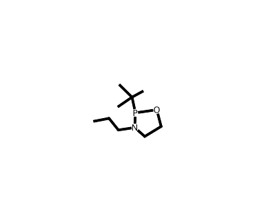 CCCN1CCOP1C(C)(C)C